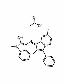 CC(=O)[O-].CC1=C(c2ccccc2)[n+]2ccc(C)cc2/C1=N/c1c(O)n(C)c2ccccc12